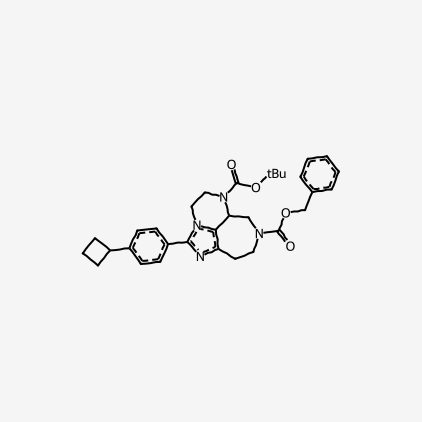 CC(C)(C)OC(=O)N1CCn2c(-c3ccc(C4CCC4)cc3)nc3c2C1CN(C(=O)OCc1ccccc1)CC3